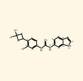 O=C(Nc1ccc(C2CC(F)(F)C2)c(F)c1)Nc1ccc2cc[nH]c2c1